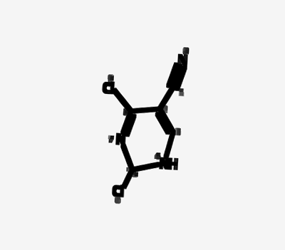 N#CC1=CN[C](Cl)N=C1Cl